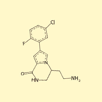 NCCC1CNC(=O)c2cc(-c3cc(Cl)ccc3F)cn21